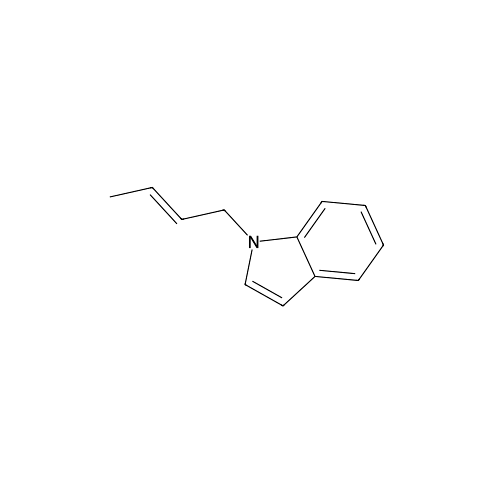 CC=CCn1ccc2ccccc21